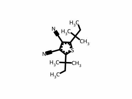 CCC(C)(C)c1sc(C(C)(C)CC)c(C#N)c1C#N